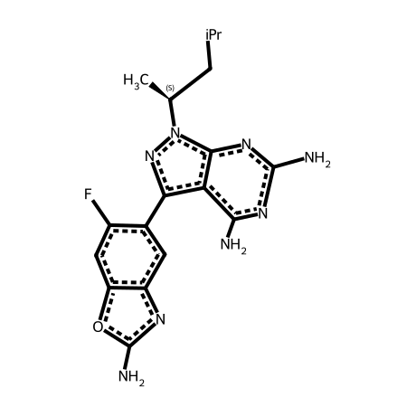 CC(C)C[C@H](C)n1nc(-c2cc3nc(N)oc3cc2F)c2c(N)nc(N)nc21